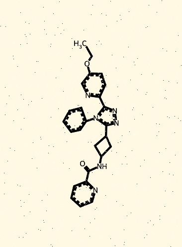 CCOc1ccc(-c2nnc(C3CC(NC(=O)c4ccccn4)C3)n2-c2ccccc2)nc1